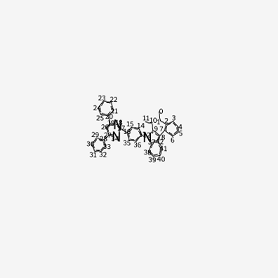 CCc1ccccc1-c1c(CC)n(-c2ccc(-c3nc(-c4ccccc4)cc(-c4ccccc4)n3)cc2)c2ccccc12